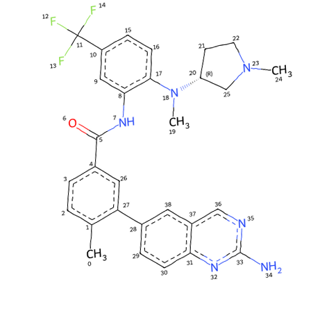 Cc1ccc(C(=O)Nc2cc(C(F)(F)F)ccc2N(C)[C@@H]2CCN(C)C2)cc1-c1ccc2nc(N)ncc2c1